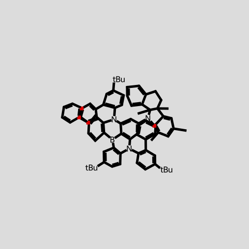 Cc1cc(C)c2c(c1)C1(C)CCc3ccccc3C1(C)N2c1cc2c3c(c1)N(c1ccc(C(C)(C)C)cc1-c1ccccc1)c1cc(-c4ccccc4)ccc1B3c1cc(C(C)(C)C)ccc1N2c1ccc(C(C)(C)C)cc1-c1ccccc1